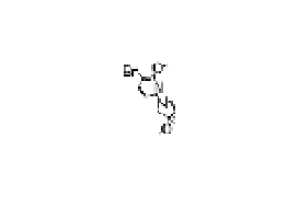 COc1nc(N2CC[C@H](OC)C2)ccc1Br